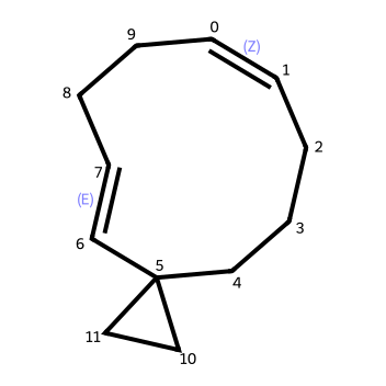 C1=C\CCCC2(/C=C/CC/1)CC2